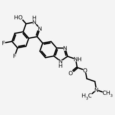 CN(C)CCOC(=O)Nc1nc2cc(C3=NNC(O)c4cc(F)c(F)cc43)ccc2[nH]1